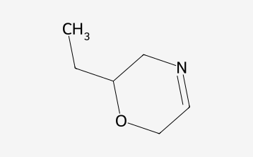 CCC1CN=CCO1